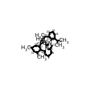 Cc1cc(C)c(-c2cccc3cn(-c4c(C(C)C)cccc4C(C)C)[c](=[Pd-2]([Cl])[Cl])n23)c(C)c1